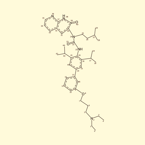 CCN(CC)CCCOc1cccc(-c2cc(C(C)C)c(NC(=O)N(CCC(C)C)c3cc4cccnc4[nH]c3=O)c(C(C)C)c2)c1